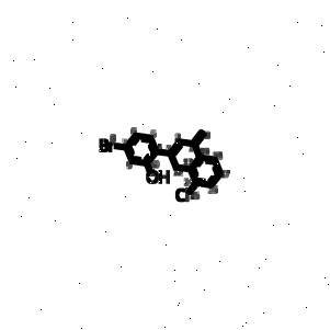 C=C1C=C(c2ccc(Br)cc2O)Cc2c(Cl)cccc21